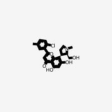 Cc1ccc(Cl)c(-c2cc(=O)c3c(O)cc(O)c([C@@H]4CCN(C)[C@H]4CO)c3o2)c1